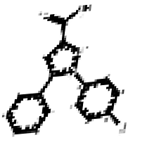 O=C(O)c1cc(-c2ccccc2)n(-c2ccc(Cl)cc2)n1